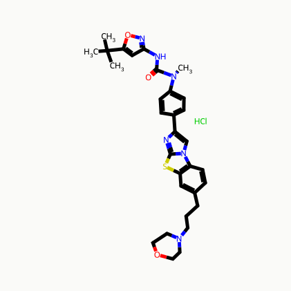 CN(C(=O)Nc1cc(C(C)(C)C)on1)c1ccc(-c2cn3c(n2)sc2cc(CCCN4CCOCC4)ccc23)cc1.Cl